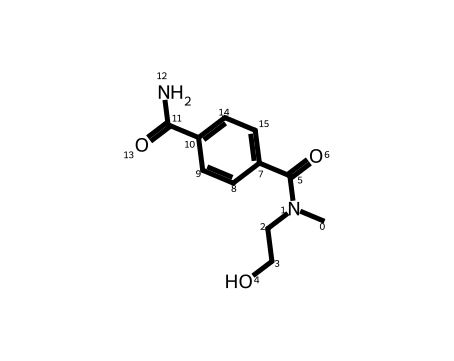 CN(CCO)C(=O)c1ccc(C(N)=O)cc1